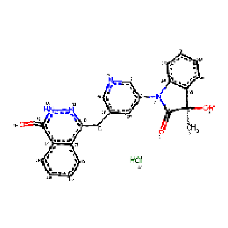 C[C@]1(O)C(=O)N(c2cncc(Cc3n[nH]c(=O)c4ccccc34)c2)c2ccccc21.Cl